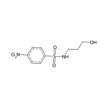 O=[N+]([O-])c1ccc(S(=O)(=O)NCCCO)cc1